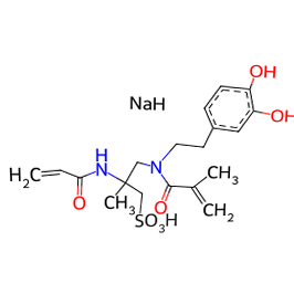 C=CC(=O)NC(C)(CN(CCc1ccc(O)c(O)c1)C(=O)C(=C)C)CS(=O)(=O)O.[NaH]